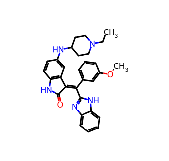 CCN1CCC(Nc2ccc3c(c2)/C(=C(\c2cccc(OC)c2)c2nc4ccccc4[nH]2)C(=O)N3)CC1